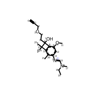 C#CCOCCC1(O)c2c(OC)cc(/N=C/N(C)CC)c(C)c2C1(F)I